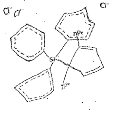 CCCC1=CC=C[C]1([Ti+3])[Si](c1ccccc1)(c1ccccc1)c1ccccc1.[Cl-].[Cl-].[Cl-]